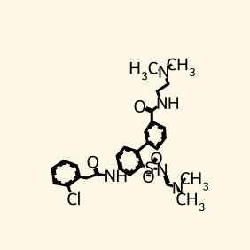 CN(C)C=NS(=O)(=O)c1cc(NC(=O)Cc2ccccc2Cl)ccc1-c1cccc(C(=O)NCCN(C)C)c1